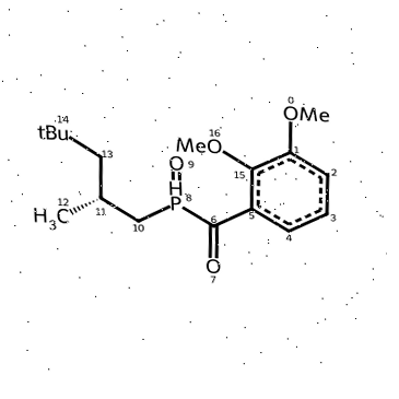 COc1cccc(C(=O)[PH](=O)C[C@H](C)CC(C)(C)C)c1OC